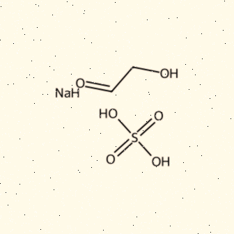 O=CCO.O=S(=O)(O)O.[NaH]